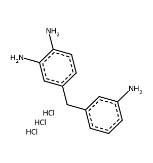 Cl.Cl.Cl.Nc1cccc(Cc2ccc(N)c(N)c2)c1